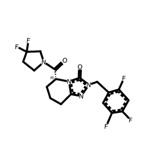 O=C([C@H]1CCCc2nn(Cc3cc(F)c(F)cc3F)c(=O)n21)N1CCC(F)(F)C1